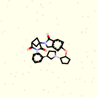 O=C1NC(=O)C2(N3Cc4cc(O[C@H]5CCC[C@@H]5N5CC[C@H](c6ccccc6)C5)ccc4C3=O)CC1C2